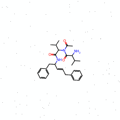 CC(=O)N(C(=O)C(N)C(C)C)C(C(=O)NC(C=CCc1ccccc1)Cc1ccccc1)C(C)C